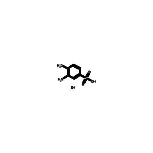 Cc1ccc(S(=O)(=O)O)cc1N.[KH]